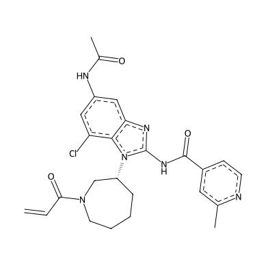 C=CC(=O)N1CCCC[C@@H](n2c(NC(=O)c3ccnc(C)c3)nc3cc(NC(C)=O)cc(Cl)c32)C1